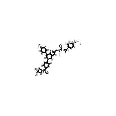 Nc1ccc([C@H]2C[C@@H]2C(=O)NCc2cc3cc(-c4ccc(C(=O)N5CC(F)(F)C5)cc4)cc(-c4ccc(F)cc4)c3o2)cn1